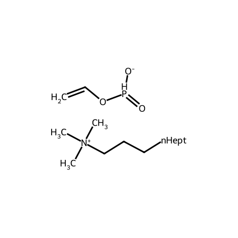 C=CO[PH](=O)[O-].CCCCCCCCCC[N+](C)(C)C